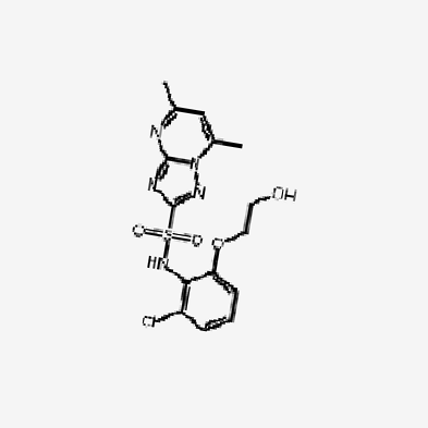 Cc1cc(C)n2nc(S(=O)(=O)Nc3c(Cl)cccc3OCCO)nc2n1